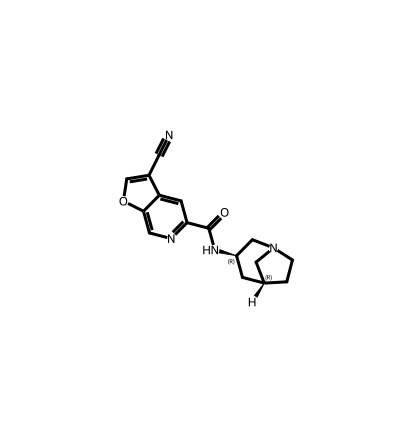 N#Cc1coc2cnc(C(=O)N[C@@H]3C[C@H]4CCN(C4)C3)cc12